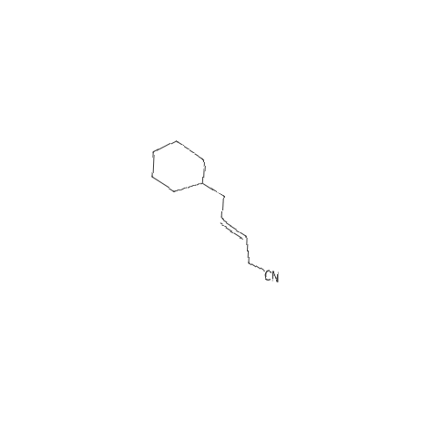 N#CCC=CCC1CCCCC1